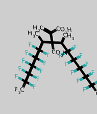 C=C(C(=O)O)C(C(=O)O)(C(C)C(F)(F)C(F)(F)C(F)(F)C(F)(F)C(F)(F)C(F)(F)F)C(C)C(F)(F)C(F)(F)C(F)(F)C(F)(F)C(F)(F)C(F)(F)F